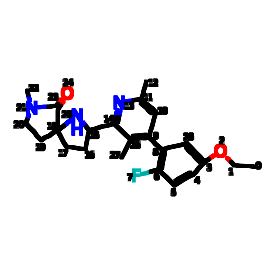 CCOc1ccc(F)c(-c2cc(C)nc(C3CCC4(CCN(C)C4=O)N3)c2C)c1